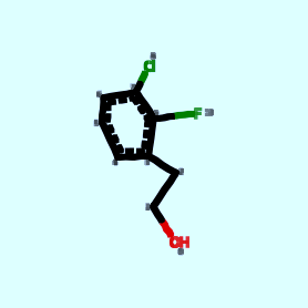 OCCc1cccc(Cl)c1F